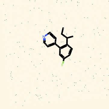 CCC(C)c1ccc(F)cc1-c1ccncc1